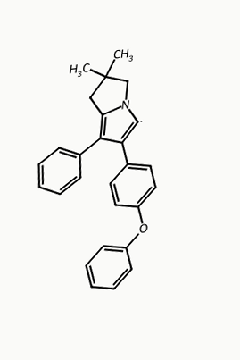 CC1(C)Cc2c(-c3ccccc3)c(-c3ccc(Oc4ccccc4)cc3)[c]n2C1